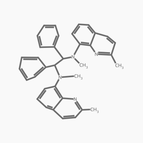 Cc1ccc2cccc(N(C)C(c3ccccc3)C(c3ccccc3)N(C)c3cccc4ccc(C)nc34)c2n1